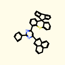 C1=Cc2cc(-c3cc(-c4cccc5c4Sc4ccccc4C54c5ccccc5-c5ccccc54)nc(-c4ccccc4)n3)cc3cccc(c23)C1